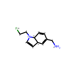 NCC1=CC2C=CN(CCF)C2C=C1